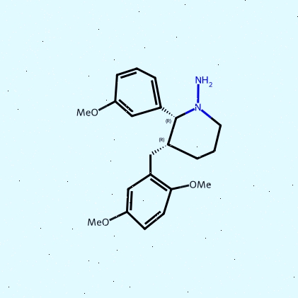 COc1cccc([C@H]2[C@@H](Cc3cc(OC)ccc3OC)CCCN2N)c1